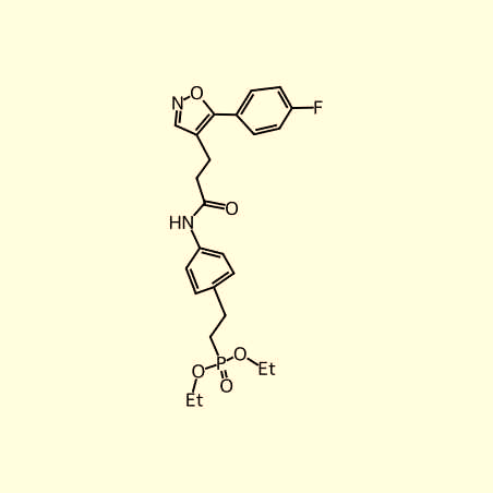 CCOP(=O)(CCc1ccc(NC(=O)CCc2cnoc2-c2ccc(F)cc2)cc1)OCC